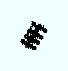 Cc1ccc(Cn2cnc3nn(-c4ccccc4)cc3c2=O)cc1.O=c1c2cn(-c3ccccc3)nc2ncn1Cc1c(F)cccc1Cl.O=c1c2cn(-c3ccccc3)nc2ncn1Cc1c(F)cccc1F.O=c1c2cn(-c3ccccc3)nc2ncn1Cc1ccccn1